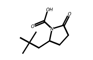 CC(C)(C)CC1CCC(=O)N1C(=O)O